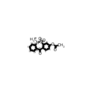 CC(=O)Oc1ccc2c(c1)S(=O)(=O)N(C)c1ccccc1C2=O